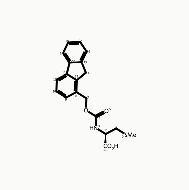 CSC[C@H](NC(=O)OCc1cccc2c1Cc1ccccc1-2)C(=O)O